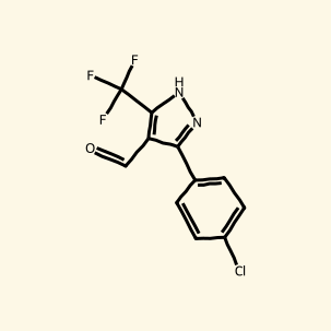 O=Cc1c(-c2ccc(Cl)cc2)n[nH]c1C(F)(F)F